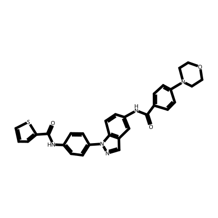 O=C(Nc1ccc2c(cnn2-c2ccc(NC(=O)c3cccs3)cc2)c1)c1ccc(N2CCOCC2)cc1